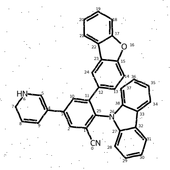 N#Cc1cc(C2=CNCC=C2)cc(-c2ccc3oc4ccccc4c3c2)c1-n1c2ccccc2c2ccccc21